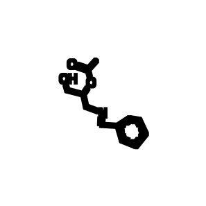 CC(=O)OC(CO)CN=Cc1ccccc1